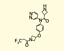 O=C(CC(F)(F)F)N1CC(Oc2ccc(N(C(=O)C3CNC3)c3ccnnc3)cc2)C1